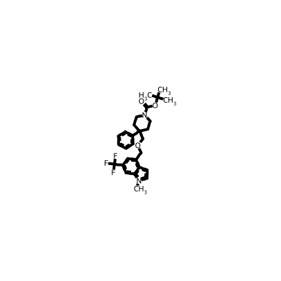 Cn1ccc2c(COCC3(c4ccccc4)CCN(C(=O)OC(C)(C)C)CC3)cc(C(F)(F)F)cc21